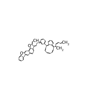 C=C/C=C\C(=C)c1ccccccc(-c2cccc(C/C=c3\c(=C/C)oc4c3ccc3cc5c(cc34)oc3ccccc35)c2)c2ccccc12